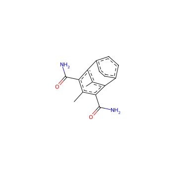 Cc1c(C(N)=O)c2c(C)c(c1C(N)=O)-c1ccc-2cc1